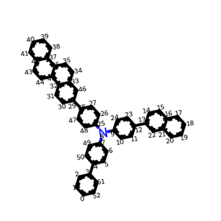 c1ccc(-c2ccc(N(c3ccc(-c4ccc5ccccc5c4)cc3)c3ccc(-c4ccc5c(ccc6c7ccccc7ccc56)c4)cc3)cc2)cc1